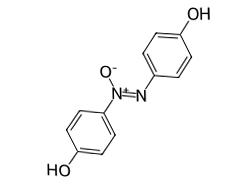 [O-][N+](=Nc1ccc(O)cc1)c1ccc(O)cc1